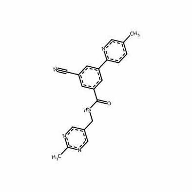 Cc1ccc(-c2cc(C#N)cc(C(=O)NCc3cnc(C)nc3)c2)nc1